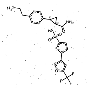 NCCc1ccc([C@H]2C[C@@]2(NS(=O)(=O)c2ccc(-c3cc(C(F)(F)F)on3)s2)C(N)=O)cc1